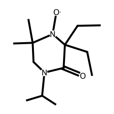 CCC1(CC)C(=O)N(C(C)C)CC(C)(C)N1[O]